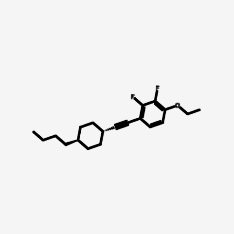 CCCC[C@H]1CC[C@H](C#Cc2ccc(OCC)c(F)c2F)CC1